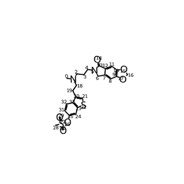 CN(CCCN1Cc2cc3c(cc2C1=O)OCO3)CCc1csc2cc(OS(C)(=O)=O)ccc12